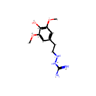 COc1cc(CCNNC(=N)N)cc(OC)c1O